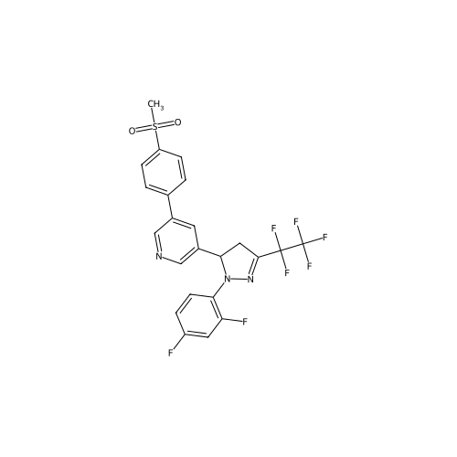 CS(=O)(=O)c1ccc(-c2cncc(C3CC(C(F)(F)C(F)(F)F)=NN3c3ccc(F)cc3F)c2)cc1